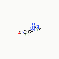 Clc1cc2cnc(Nc3cnn(C4CCC4)c3Cl)nc2cc1C1CCN(C2COC2)CC1